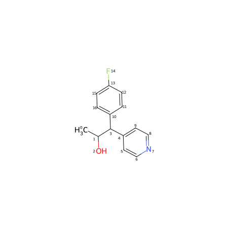 CC(O)C(c1ccncc1)c1ccc(F)cc1